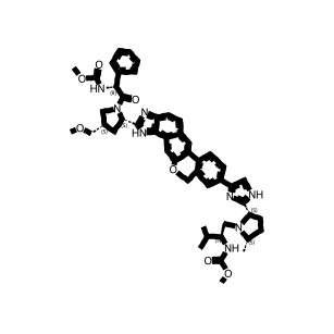 COC[C@H]1C[C@@H](c2nc3ccc4cc5c(cc4c3[nH]2)OCc2cc(-c3c[nH]c([C@@H]4CC[C@H](C)N4C[C@@H](NC(=O)OC)C(C)C)n3)ccc2-5)N(C(=O)[C@H](NC(=O)OC)c2ccccc2)C1